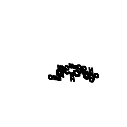 COC(=O)N(c1ccc2c(n1)NC(=O)CO2)C1CCC(NCCn2c(=O)cnc3ccc(OC)nc32)CC1